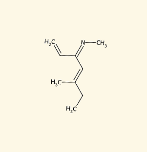 C=CC(/C=C(\C)CC)=N/C